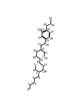 CCCCC[C@H]1CC[C@H]([C@H]2CC[C@H](CCc3ccc(CCC)c(F)c3)CC2)CC1